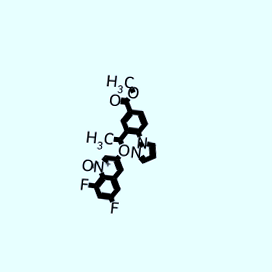 COC(=O)c1ccc(-n2cccn2)c(C(C)Oc2cc3cc(F)cc(F)c3[n+]([O-])c2)c1